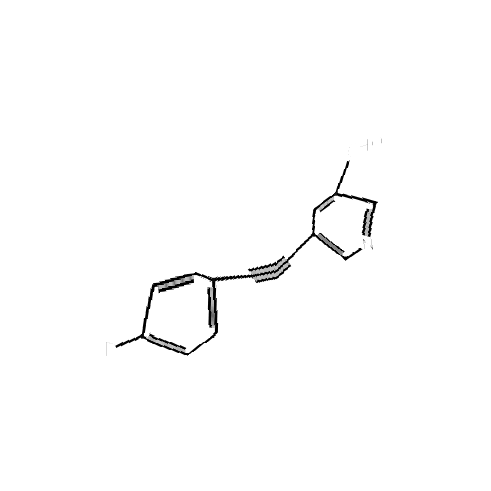 O=Cc1cncc(C#Cc2ccc(F)cc2)c1